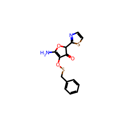 NC1=C(OSCc2ccccc2)C(=O)C(c2nccs2)O1